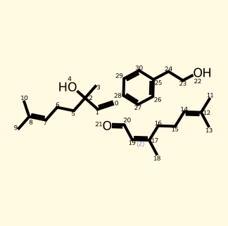 C=CC(C)(O)CCC=C(C)C.CC(C)=CCC/C(C)=C\C=O.OCCc1ccccc1